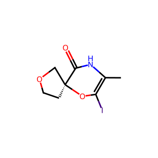 CC1=C(I)O[C@]2(CCOC2)C(=O)N1